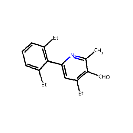 CCc1cc(-c2c(CC)cccc2CC)nc(C)c1C=O